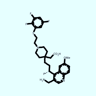 COc1ccc2ncc(CN)c([C@H](F)CCC3(CC(=O)O)CCN(CCSc4cc(F)cc(F)c4F)CC3)c2c1